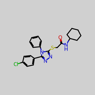 O=C(CSc1nnc(-c2ccc(Cl)cc2)n1-c1ccccc1)NC1CCCCC1